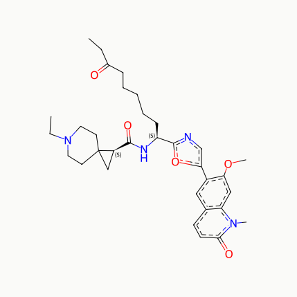 CCC(=O)CCCCC[C@H](NC(=O)[C@H]1CC12CCN(CC)CC2)c1ncc(-c2cc3ccc(=O)n(C)c3cc2OC)o1